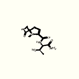 C[C@@H](O)[C@@H](NC(=O)C1CCC2(CNC2=O)N1C)C(N)=O